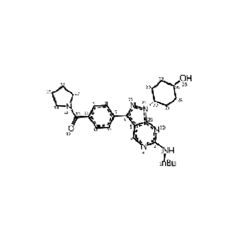 CCCCNc1ncc2c(-c3ccc(C(=O)N4CCCC4)cc3)nn([C@H]3CC[C@H](O)CC3)c2n1